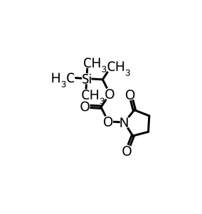 CC(OC(=O)ON1C(=O)CCC1=O)[Si](C)(C)C